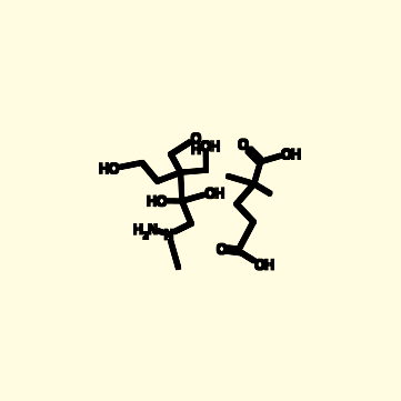 CC(C)(CCC(=O)O)C(=O)O.CN(N)CC(O)(O)C(CO)(CO)CCO